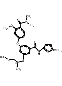 COC[C@H](C)Oc1cc(Oc2ccc(C(=O)N(C)C)c(OC)c2)cc(C(=O)Nc2ccn(C)n2)c1